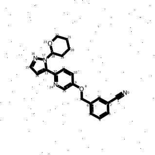 N#Cc1cccc(COc2ccc(-c3ccnn3C3CCCCO3)nc2)c1